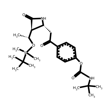 C[C@@H](O[Si](C)(C)C(C)(C)C)[C@H]1C(=O)N[C@@H]1CC(=O)c1ccc(OC(=O)NC(C)(C)C)cc1